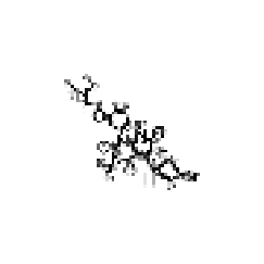 CCN(CC)CCOc1cccc(-n2c(=O)n(C3CC3)c(=O)c3c(Nc4ccc(Br)cc4F)cc(=O)n(C)c32)c1